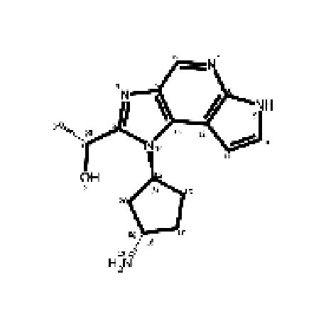 C[C@@H](O)c1nc2cnc3[nH]ccc3c2n1[C@H]1CC[C@H](N)C1